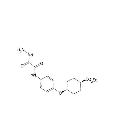 CCOC(=O)[C@H]1CC[C@@H](Oc2ccc(NC(=O)C(=O)NN)cc2)CC1